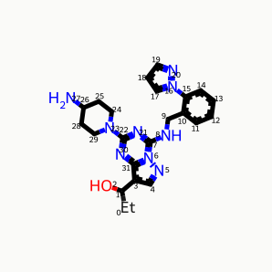 CCC(O)c1cnn2c(NCc3ccccc3-n3cccn3)nc(N3CCC(N)CC3)nc12